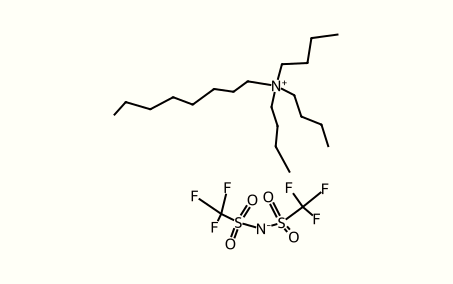 CCCCCCCC[N+](CCCC)(CCCC)CCCC.O=S(=O)([N-]S(=O)(=O)C(F)(F)F)C(F)(F)F